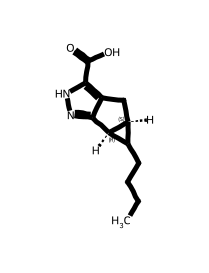 CCCCC1[C@H]2c3n[nH]c(C(=O)O)c3C[C@@H]12